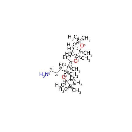 CCC(O[Si](C)(C)C(C)(C)O[Si](C)(C)C)C(C)(CC)[Si](C)(CCCN)OC(C)(CC)[Si](C)(C)C